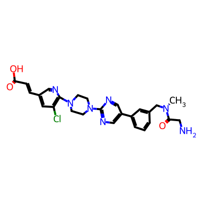 CN(Cc1cccc(-c2cnc(N3CCN(c4ncc(C=CC(=O)O)cc4Cl)CC3)nc2)c1)C(=O)CN